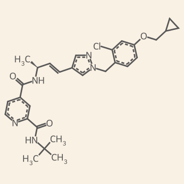 C[C@@H](/C=C/c1cnn(Cc2ccc(OCC3CC3)cc2Cl)c1)NC(=O)c1ccnc(C(=O)NC(C)(C)C)c1